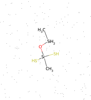 C[SiH2]O[Si](C)(S)S